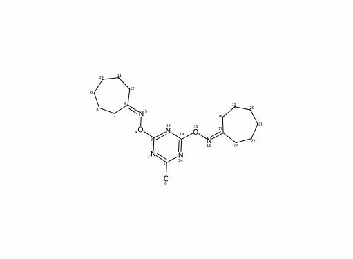 Clc1nc(ON=C2CCCCCC2)nc(ON=C2CCCCCC2)n1